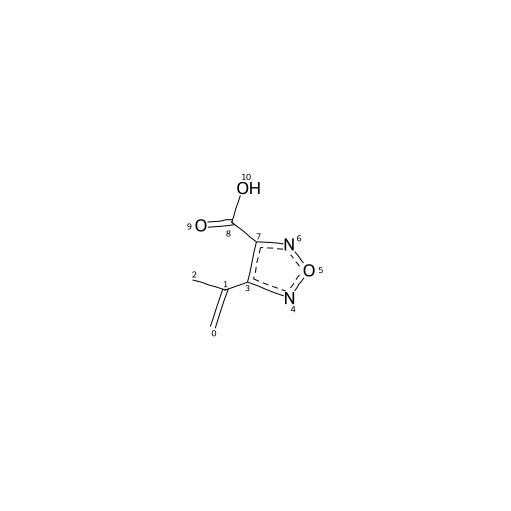 C=C(C)c1nonc1C(=O)O